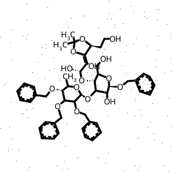 CC1O[C@@H](OC2C(O)[C@H](OCc3ccccc3)OC(CO)[C@H]2O[C@H](O)/C(O)=C2\OC(C)(C)O[C@H]2CCO)C(OCc2ccccc2)C(OCc2ccccc2)[C@@H]1OCc1ccccc1